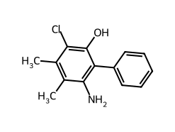 Cc1c(C)c(Cl)c(O)c(-c2ccccc2)c1N